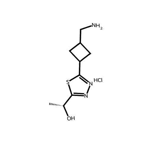 C[C@@H](O)c1nnc(C2CC(CN)C2)s1.Cl